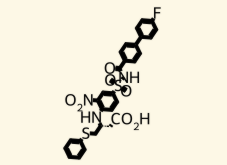 O=C(O)C[C@H](CSc1ccccc1)Nc1ccc(S(=O)(=O)NC(=O)c2ccc(-c3ccc(F)cc3)cc2)cc1[N+](=O)[O-]